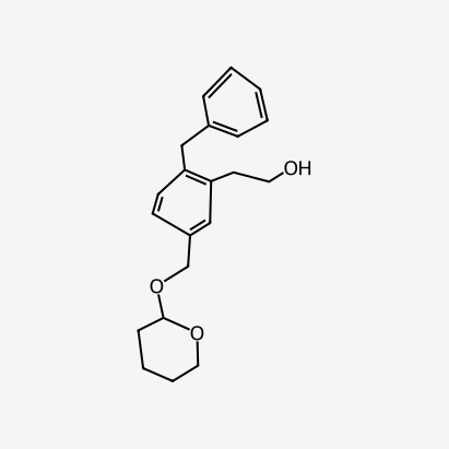 OCCc1cc(COC2CCCCO2)ccc1Cc1ccccc1